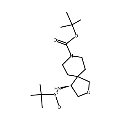 CC(C)(C)OC(=O)N1CCC2(CC1)COC[C@H]2N[S+]([O-])C(C)(C)C